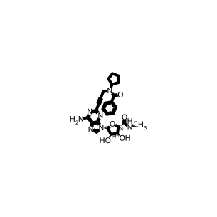 CNC(=O)[C@H]1O[C@@H](n2cnc3c(N)nc(C#CCN(C(=O)c4ccccc4)C4CCCC4)nc32)[C@H](O)[C@@H]1O